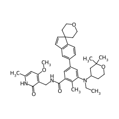 CCN(c1cc(-c2ccc3c(c2)C=CC32CCOCC2)cc(C(=O)NCc2c(OC)cc(C)[nH]c2=O)c1C)C1CCOC(C)(C)C1